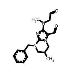 CC1CN(Cc2ccccc2)c2nc(N(C)CC=O)c(C=O)n2C1